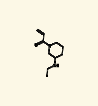 C=CC(=O)N1CCCC(NCC)C1